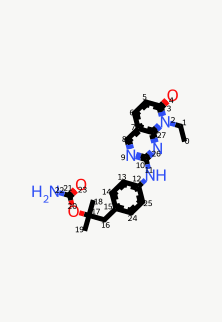 CCn1c(=O)ccc2cnc(Nc3ccc(CC(C)(C)OC(N)=O)cc3)nc21